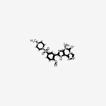 CCCCn1c(=O)n2cnnc2c2[nH]c(-c3cc(S(=O)(=O)N4CCN(C)CC4)ccc3OCC)nc21